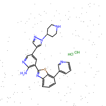 Cl.Cl.Nc1ncc(-c2cnn(C3CCNCC3)c2)cc1-c1nc2cccc(-c3cccnc3)c2s1